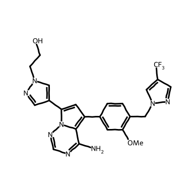 COc1cc(-c2cc(-c3cnn(CCO)c3)n3ncnc(N)c23)ccc1Cn1cc(C(F)(F)F)cn1